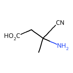 CC(N)(C#N)CC(=O)O